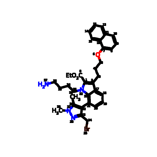 CCOC(=O)c1c(CCCOc2cccc3ccccc23)c2cccc(-c3c(CBr)nn(C)c3C)c2n1CCCCN